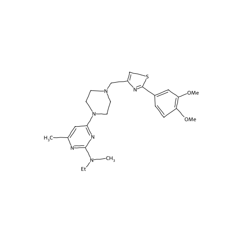 CCN(C)c1nc(C)cc(N2CCN(Cc3csc(-c4ccc(OC)c(OC)c4)n3)CC2)n1